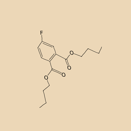 CCCCOC(=O)c1ccc(F)cc1C(=O)OCCCC